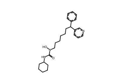 O=C(NC1CCCCC1)N(O)CCCCCCC(c1ccccc1)c1cccnc1